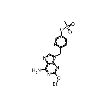 CCOc1nc(N)c2ncn(Cc3ccc(OS(C)(=O)=O)cn3)c2n1